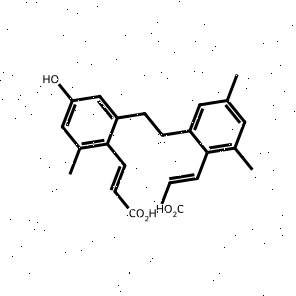 Cc1cc(C)c(/C=C/C(=O)O)c(CCc2cc(O)cc(C)c2/C=C/C(=O)O)c1